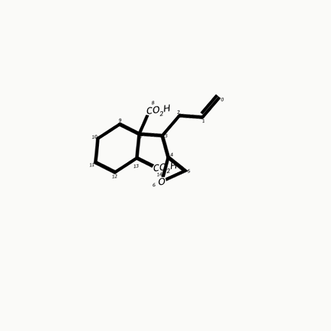 C=CCC(C1CO1)C1(C(=O)O)CCCCC1C(=O)O